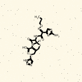 CCCON=C(C(=O)NC1C(=O)N2C(C(=O)O)=C(CSc3cnn[nH]3)CS[C@@H]12)c1csc(N)n1